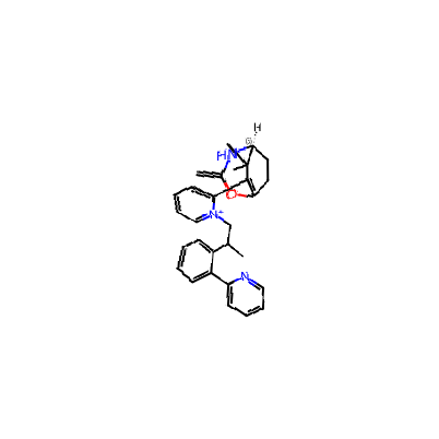 C=C1N[C@H]2CCC(=C(c3cccc[n+]3CC(C)c3ccccc3-c3ccccn3)C2(C)C)O1